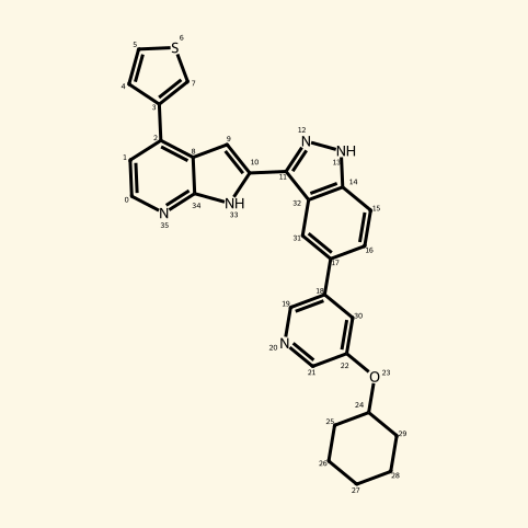 c1cc(-c2ccsc2)c2cc(-c3n[nH]c4ccc(-c5cncc(OC6CCCCC6)c5)cc34)[nH]c2n1